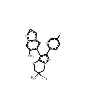 Cc1cn2nccc2cc1-c1c(-c2ccc(F)cn2)nn2c1OCC(C)(C)C2